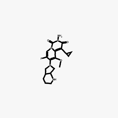 COc1c(N2CC3CCCNC3C2)c(F)cn2c(=O)n(N)c(=O)c(C3CC3)c12